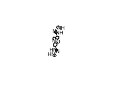 c1cc2c(cc1-c1cnc([C@@H]3CCCN3)[nH]1)Oc1ccc(-c3cnc([C@@H]4CCCN4)[nH]3)c3ccn-2c13